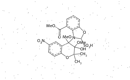 COC(=O)c1cccc2c1N(C1(OC)c3cc([N+](=O)[O-])ccc3OC(C)(C)C1(O)OC)C(S(=O)(=O)O)O2